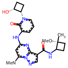 CNc1cc(Nc2cccn([C@H]3CC[C@H]3O)c2=O)nc2c(C(=O)NC3CC[C@@]3(C)OC)cnn12